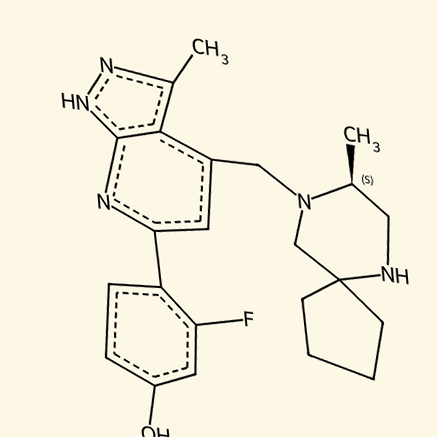 Cc1n[nH]c2nc(-c3ccc(O)cc3F)cc(CN3CC4(CCCC4)NC[C@@H]3C)c12